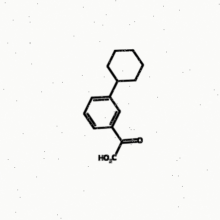 O=C(O)C(=O)c1cccc(C2CCCCC2)c1